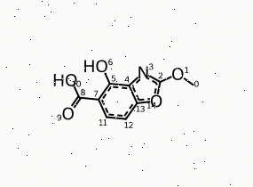 COc1nc2c(O)c(C(=O)O)ccc2o1